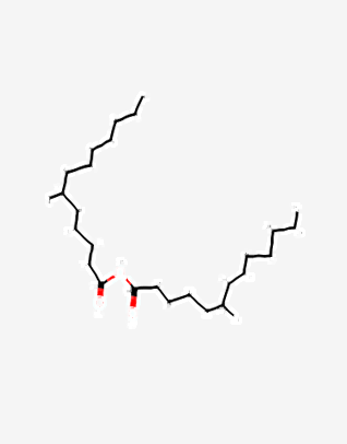 CCCCCCCC(C)CCCCC(=O)OC(=O)CCCCC(C)CCCCCCC